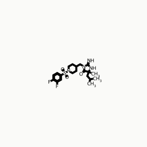 CC(C)CC1(C)NC(=N)N(CC2CCN(S(=O)(=O)c3ccc(F)c(F)c3)CC2)C1=O